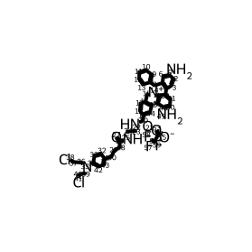 Nc1ccc2c(c1)c(-c1ccccc1)[n+](Cc1ccc(C(=O)NCCNC(=O)CCCc3ccc(N(CCCl)CCCl)cc3)cc1)c1cc(N)ccc21.O=C([O-])C(F)(F)F